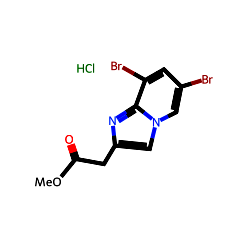 COC(=O)Cc1cn2cc(Br)cc(Br)c2n1.Cl